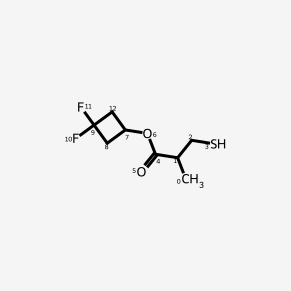 CC(CS)C(=O)OC1CC(F)(F)C1